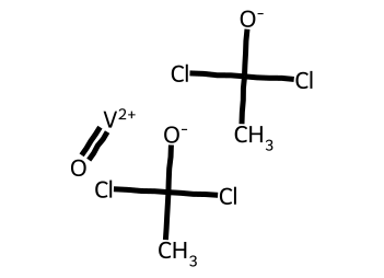 CC([O-])(Cl)Cl.CC([O-])(Cl)Cl.[O]=[V+2]